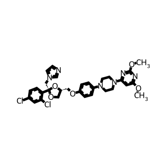 COc1cc(N2CCN(c3ccc(OC[C@@H]4CO[C@@](Cn5ccnc5)(c5ccc(Cl)cc5Cl)O4)cc3)CC2)nc(OC)n1